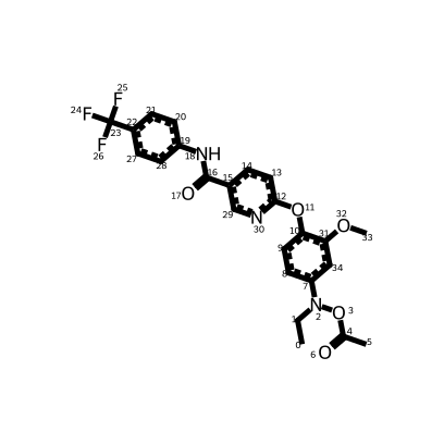 CCN(OC(C)=O)c1ccc(Oc2ccc(C(=O)Nc3ccc(C(F)(F)F)cc3)cn2)c(OC)c1